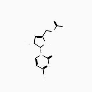 CCCCCC(=O)OCC1=C[C@@H](O)[C@H](n2ccc(N)nc2=O)O1